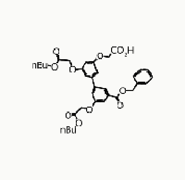 CCCCOC(=O)COc1cc(OCC(=O)O)cc(-c2cc(OCC(=O)OCCCC)cc(C(=O)OCc3ccccc3)c2)c1